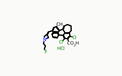 Cc1cc(C=C2CN(CCCF)C2)ccc1C1=CCCCc2c(Cl)c(C(=O)O)c(Cl)c(-c3ccccc3)c21.Cl